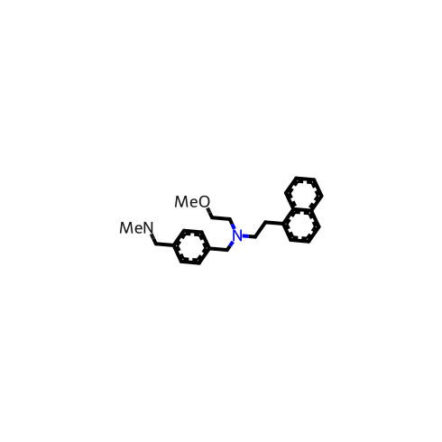 CNCc1ccc(CN(CCOC)CCc2cccc3ccccc23)cc1